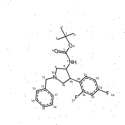 CC(C)(C)OC(=O)NC1CN(Cc2ccccc2)CC1c1ccc(F)cc1F